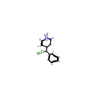 BrC(c1ccccc1)C1CCNCC1